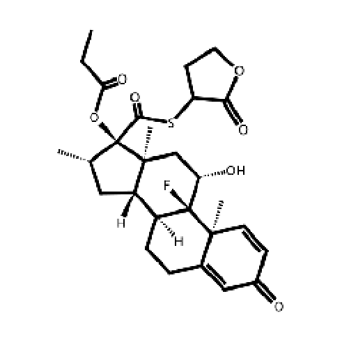 CCC(=O)O[C@]1(C(=O)SC2CCOC2=O)[C@@H](C)C[C@H]2[C@@H]3CCC4=CC(=O)C=C[C@]4(C)[C@@]3(F)[C@@H](O)C[C@@]21C